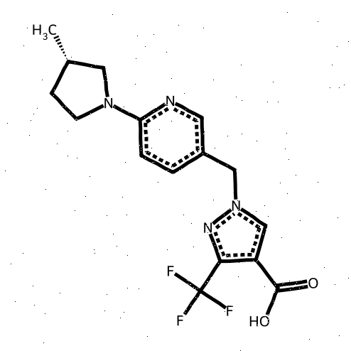 C[C@H]1CCN(c2ccc(Cn3cc(C(=O)O)c(C(F)(F)F)n3)cn2)C1